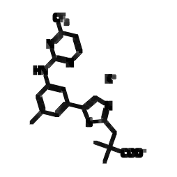 Cc1cc(Nc2nccc(C(F)(F)F)n2)cc(-c2cnc(CC(C)(C)C(=O)[O-])s2)c1.[K+]